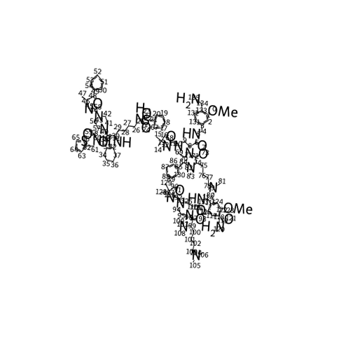 COc1cc(CNC(=O)[C@@H]2CN(C3=NC(C)(C)[C@H](c4cccc(S(=O)(=O)NCCCC[C@@H](NC5CCCCC5)C(=O)N5CCN(C6=N[C@@H](C)[C@@H](c7ccccc7)O6)C[C@H]5C(=O)NCc5cccs5)c4)O3)CCN2C(=O)[C@@H](CCCCN(C)C)N(C)Cc2cccc([C@@H]3OC(N4CCN(C(=O)[C@@H](CCCCN(C)C)N(C)C)[C@H](C(=O)NCc5ccc(C(N)=O)c(OC)c5)C4)=NC3(C)C)c2)ccc1CN